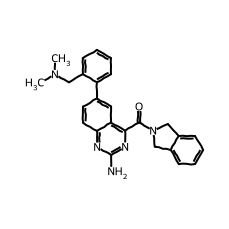 CN(C)Cc1ccccc1-c1ccc2nc(N)nc(C(=O)N3Cc4ccccc4C3)c2c1